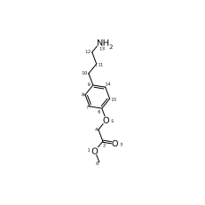 COC(=O)COc1ccc(C[CH]CN)cc1